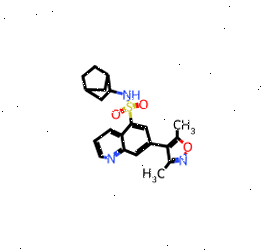 Cc1noc(C)c1-c1cc(S(=O)(=O)NC2CC3CCC2C3)c2cccnc2c1